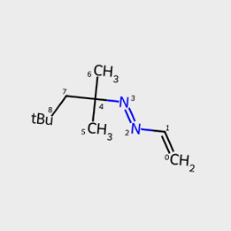 C=CN=NC(C)(C)CC(C)(C)C